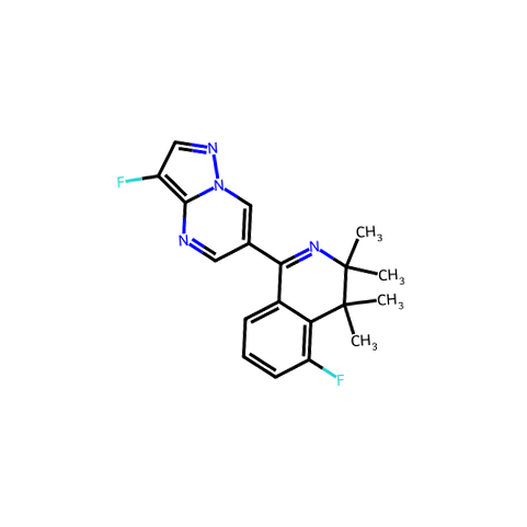 CC1(C)N=C(c2cnc3c(F)cnn3c2)c2cccc(F)c2C1(C)C